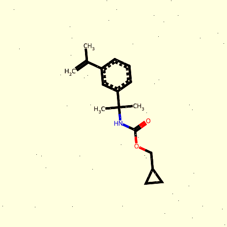 C=C(C)c1cccc(C(C)(C)NC(=O)OCC2CC2)c1